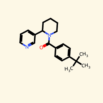 CC(C)(C)c1ccc(C(=O)N2CCCCC2c2cccnc2)cc1